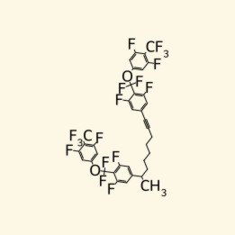 CC(CCCCCC#Cc1cc(F)c(C(F)(F)Oc2cc(F)c(C(F)(F)F)c(F)c2)c(F)c1)c1cc(F)c(C(F)(F)Oc2cc(F)c(C(F)(F)F)c(F)c2)c(F)c1